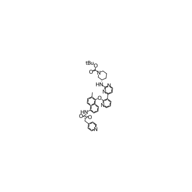 Cc1ccc2c(NS(=O)(=O)Cc3ccncc3)cccc2c1Oc1ncccc1-c1ccnc(N[C@H]2CCCN(C(=O)OC(C)(C)C)C2)n1